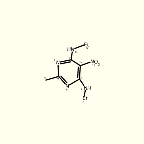 CCNc1nc(C)nc(NCC)c1[N+](=O)[O-]